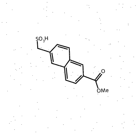 COC(=O)c1ccc2cc(CS(=O)(=O)O)ccc2c1